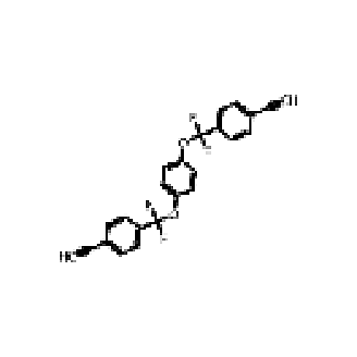 C#Cc1ccc(C(F)(F)Oc2ccc(OC(F)(F)c3ccc(C#C)cc3)cc2)cc1